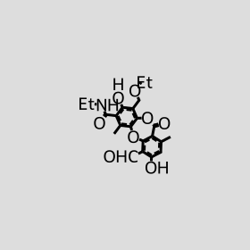 CCNC(=O)c1c(C)c2c(c(COCC)c1O)OC(=O)c1c(C)cc(O)c(C=O)c1O2